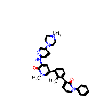 Cc1c(-c2cc(Nc3ccc(N4CCN(C)CC4)cn3)c(=O)n(C)c2)cccc1-c1cccn(-c2ccccc2)c1=O